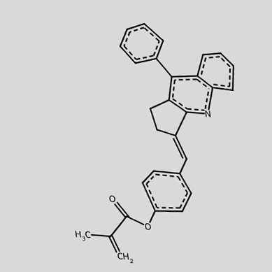 C=C(C)C(=O)Oc1ccc(/C=C2\CCc3c2nc2ccccc2c3-c2ccccc2)cc1